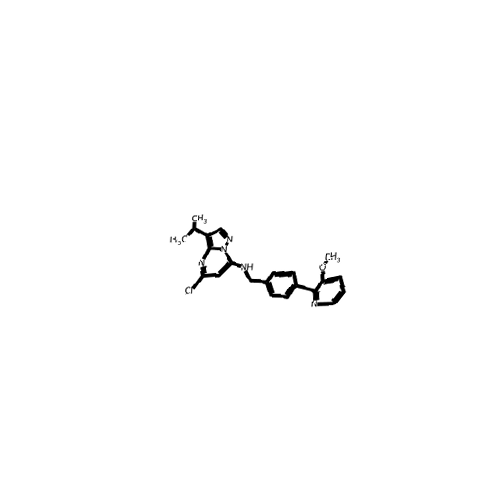 COc1cccnc1-c1ccc(CNc2cc(Cl)nc3c(C(C)C)cnn23)cc1